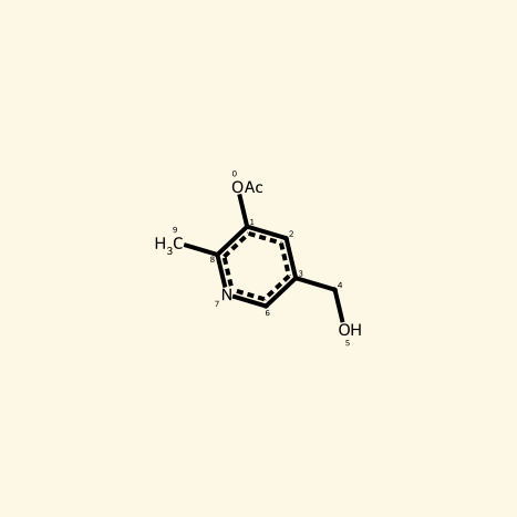 CC(=O)Oc1cc(CO)cnc1C